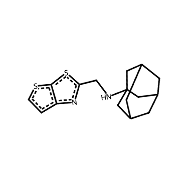 c1cc2nc(CNC34CC5CC(CC(C5)C3)C4)sc2s1